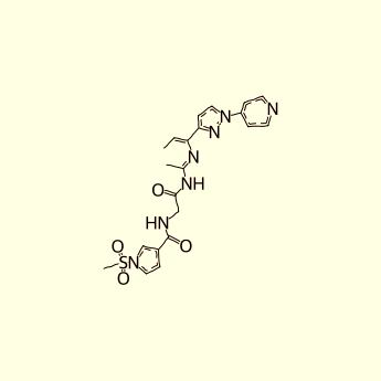 C/C=C(\N=C(/C)NC(=O)CNC(=O)c1ccn(S(C)(=O)=O)c1)c1ccn(-c2ccncc2)n1